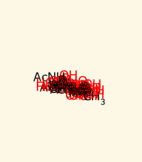 CC(=O)N[C@H]1[C@H](OC[C@H]2OC(O)[C@H](NC(C)=O)[C@@H](O[C@@H]3O[C@H](CO)[C@H](O)[C@H](O)[C@H]3O[C@@H]3O[C@@H](C)[C@@H](O)[C@@H](O)[C@@H]3O)[C@H]2O)O[C@H](CO)[C@@H](O[C@@H]2O[C@H](CO)[C@H](O)[C@H](O[C@@H]3O[C@H](CO)[C@@H](O[C@@H]4O[C@@H](C)[C@@H](O)[C@@H](O)[C@@H]4O)[C@H](O[C@@H]4O[C@H](CO)[C@H](O)[C@H](O)[C@H]4O)[C@H]3NC(C)=O)[C@H]2O)[C@@H]1O